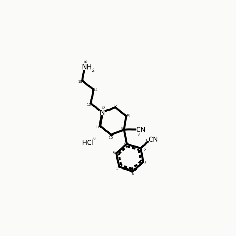 Cl.N#Cc1ccccc1C1(C#N)CCN(CCCN)CC1